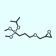 CO[Si](CCCOCC1CO1)(OC)OC(C)C